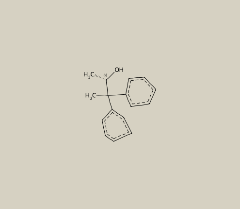 C[C@H](O)C(C)(c1ccccc1)c1ccccc1